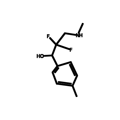 CNCC(F)(F)C(O)c1ccc(C)cc1